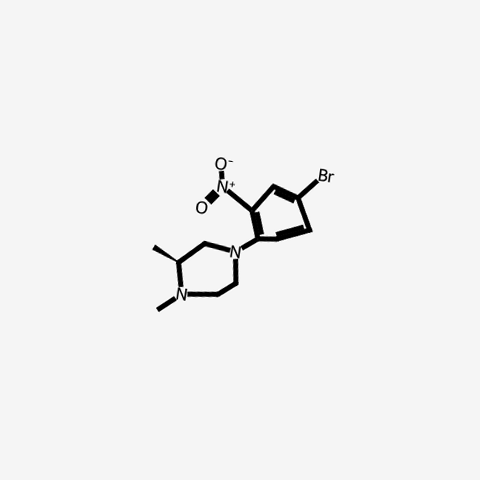 C[C@H]1CN(c2ccc(Br)cc2[N+](=O)[O-])CCN1C